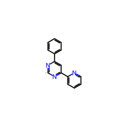 [c]1nc(-c2ccccc2)cc(-c2ccccn2)n1